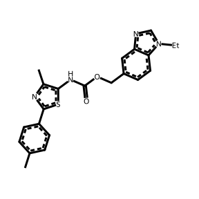 CCn1cnc2cc(COC(=O)Nc3sc(-c4ccc(C)cc4)nc3C)ccc21